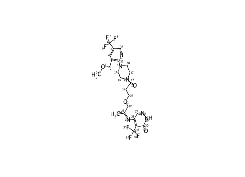 COCc1cc(C(F)(F)F)cnc1N1CCN(C(=O)CCOC/C(C)=N\c2cn[nH]c(=O)c2C(F)(F)F)CC1